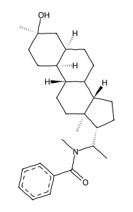 CC([C@H]1CC[C@H]2C3CC[C@@H]4C[C@](C)(O)CC[C@@H]4[C@H]3CC[C@]12C)N(C)C(=O)c1ccccc1